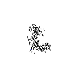 C/C=C/C[C@@H](C)[C@H](O)C(C(=O)N[C@H](CC)C(=O)N(C)CC(=O)N(C)C(C(N)=O)[C@H](C)O)N(C)C(=O)[C@@H](C(C)C)N(C)C(=O)[C@@H](CC(C)C)N(C)C(=O)[C@@H](CC(C)C)N(C)C(=O)[C@H](C)NC(=O)[C@@H](C)NC(=O)[C@H](CC(C)C)N(C)C(=O)[C@H](C)C(C)C